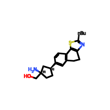 CCCCc1nc2c(s1)-c1ccc([C@H]3CC[C@](N)(CO)C3)cc1CC2